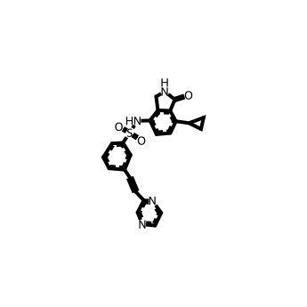 O=C1NCc2c(NS(=O)(=O)c3cccc(C#Cc4cnccn4)c3)ccc(C3CC3)c21